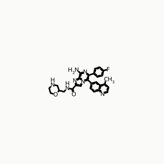 Cc1ccnc2ccc(-c3c(-c4ccc(F)cc4)nc(N)c4nc(C(=O)NCC5CNCCO5)cn34)cc12